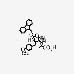 CC(C(=O)O)n1nnnc1C(Cc1ccc(OC(C)(C)C)cc1)NC(=O)OCC1c2ccccc2-c2ccccc21